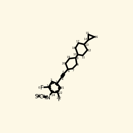 Fc1cc(C#CC2CCC(C3CCC(C4CC4)CC3)CC2)cc(F)c1N=C=S